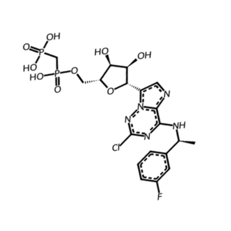 C[C@H](Nc1nc(Cl)nn2c([C@@H]3O[C@H](COP(=O)(O)CP(=O)(O)O)[C@@H](O)[C@H]3O)cnc12)c1cccc(F)c1